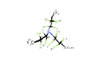 O=C(O)C(F)(F)C(F)(F)N(C(F)(F)C(F)(F)C(F)(F)F)C(F)(F)C(F)(F)C(F)(F)F